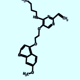 C=Cc1ncc(OCCOc2ccnc3cc(OC)ccc23)c(NCCCC)n1